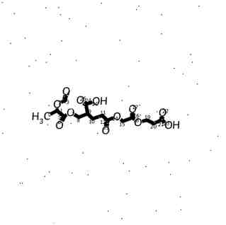 CC(O[C]=O)C(=O)OCC(CCC(=O)OCC(=O)OCCC(=O)O)C(=O)O